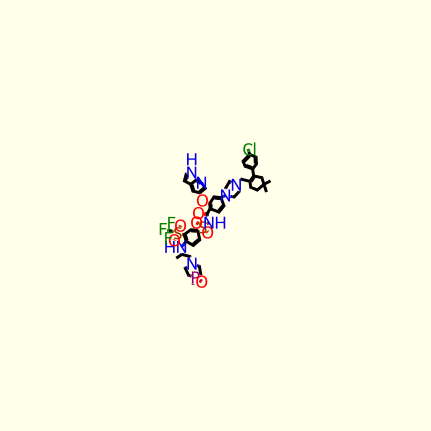 CC(CN1CCP(C)(=O)CC1)Nc1ccc(S(=O)(=O)NC(=O)c2ccc(N3CCN(CC4=C(c5ccc(Cl)cc5)CC(C)(C)CC4)CC3)cc2Oc2cnc3[nH]ccc3c2)cc1S(=O)(=O)C(F)(F)F